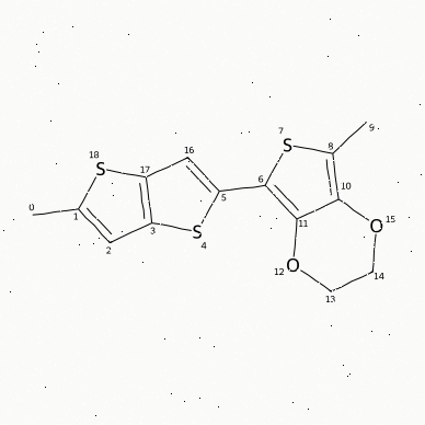 Cc1cc2sc(-c3sc(C)c4c3OCCO4)cc2s1